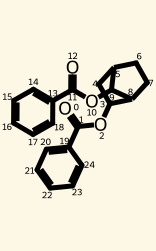 O=C(OC1CC2CCC1C2OC(=O)c1ccccc1)c1ccccc1